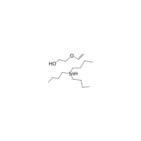 C=COCCO.CCC[CH2][SnH]([CH2]CCC)[CH2]CCC